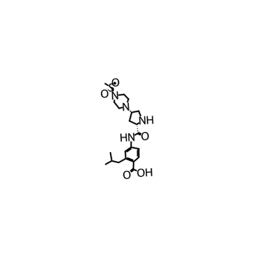 CC(C)Cc1cc(NC(=O)[C@@H]2C[C@H](N3CCN(S(C)(=O)=O)CC3)CN2)ccc1C(=O)O